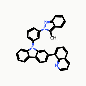 Cc1c2ccccc2nn1-c1cccc(-n2c3ccccc3c3ccc(-c4cccc5cccnc45)cc32)c1